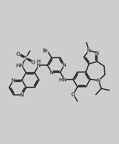 COc1cc2c(cc1Nc1ncc(Br)c(Nc3ccc4nccnc4c3NS(C)(=O)=O)n1)-c1cn(C)nc1CCN2C(C)C